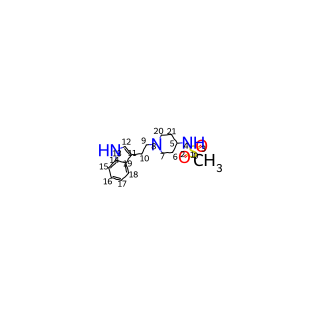 CS(=O)(=O)NC1CCN(CCc2c[nH]c3ccccc23)CC1